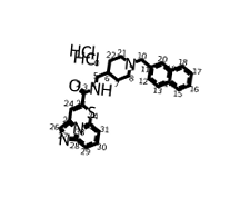 Cl.Cl.O=C(NCC1CCN(Cc2ccc3ccccc3c2)CC1)C1=Cc2cnc3cccc(n23)S1